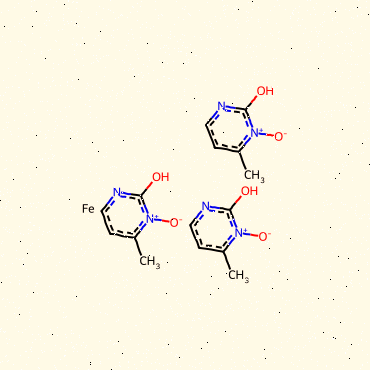 Cc1ccnc(O)[n+]1[O-].Cc1ccnc(O)[n+]1[O-].Cc1ccnc(O)[n+]1[O-].[Fe]